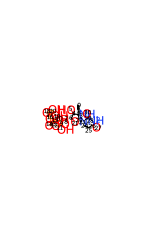 C#C[C@@]1(N)[C@H](O)[C@@H](COP(=O)(O)OP(=O)(O)OP(=O)(O)O)O[C@H]1n1ccc(=O)[nH]c1=O